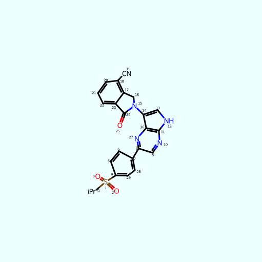 CC(C)S(=O)(=O)c1ccc(-c2cnc3[nH]cc(N4Cc5c(C#N)cccc5C4=O)c3n2)cc1